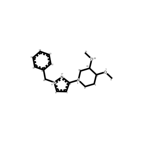 COC1CCN(c2ccn(Cc3ccccc3)n2)CC1OC